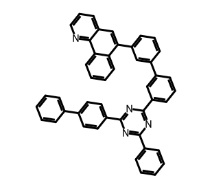 c1ccc(-c2ccc(-c3nc(-c4ccccc4)nc(-c4cccc(-c5cccc(-c6cc7cccnc7c7ccccc67)c5)c4)n3)cc2)cc1